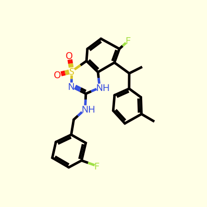 Cc1cccc(C(C)c2c(F)ccc3c2NC(NCc2cccc(F)c2)=NS3(=O)=O)c1